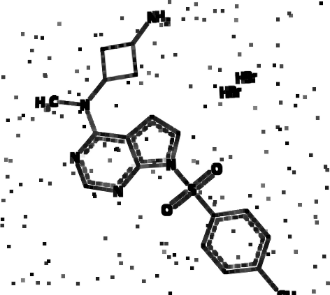 Br.Br.Cc1ccc(S(=O)(=O)n2ccc3c(N(C)C4CC(N)C4)ncnc32)cc1